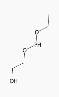 CCOPOCCO